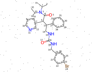 CC(C)N(C(=O)C(c1cccnc1)C(CNC(=O)NCc1ccc(Br)cc1)c1ccccc1)C(C)C